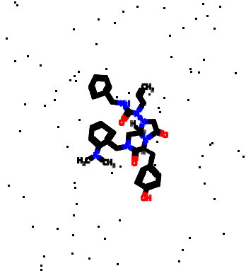 C=CCN(C(=O)NCc1ccccc1)N1CC(=O)N2[C@@H](Cc3ccc(O)cc3)C(=O)N(Cc3ccccc3N(C)C)C[C@@H]21